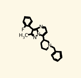 Cc1nn2c(C3CCCN(Cc4ccccc4)C3)ccnc2c1-c1ccccc1F